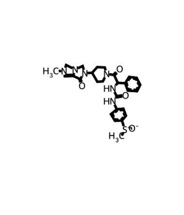 CN1C=C2C(=O)N(C3CCN(C(=O)C(NC(=O)Nc4ccc([S+](C)[O-])cc4)c4ccccc4)CC3)CN2C1